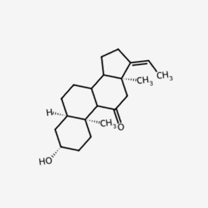 C/C=C1/CCC2C3CC[C@@H]4C[C@@H](O)CC[C@]4(C)C3C(=O)C[C@]12C